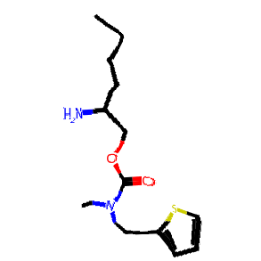 CCCCC(N)COC(=O)N(C)Cc1cccs1